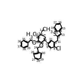 CC[C@H]1S[C@@H](c2ccc(Cl)c(Cc3cc4ccccc4s3)c2)[C@H](OCc2ccccc2)[C@@H](OCc2ccccc2)[C@@H]1C